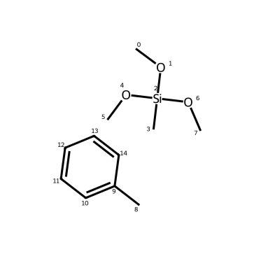 CO[Si](C)(OC)OC.Cc1ccccc1